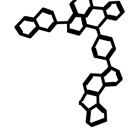 c1ccc(-c2ccccc2N(c2ccc(-c3ccc4ccccc4c3)cc2)c2ccc(-c3cccc4c3ccc3sc5ccccc5c34)cc2)cc1